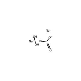 O=S([O-])[O-].OS.[Na+].[Na+]